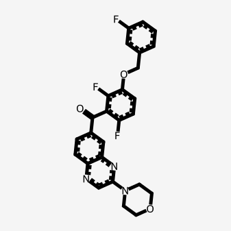 O=C(c1ccc2ncc(N3CCOCC3)nc2c1)c1c(F)ccc(OCc2cccc(F)c2)c1F